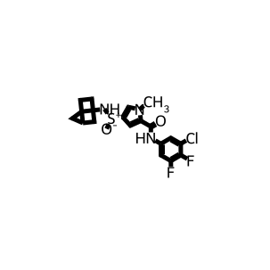 Cn1cc([S+]([O-])NC23CCC24CC4C3)cc1C(=O)Nc1cc(F)c(F)c(Cl)c1